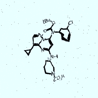 CC(C)(C)OC(=O)N(c1cccc(Cl)c1)c1cc(N[C@H]2CCCN(C(=O)O)C2)nc2c(C3CC3)cnn12